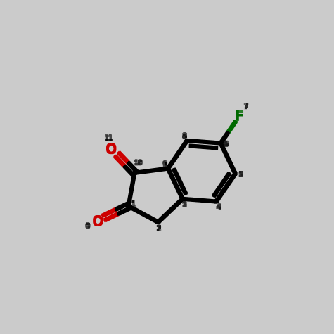 O=C1Cc2ccc(F)cc2C1=O